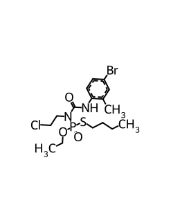 CCCCSP(=O)(OCC)N(CCCl)C(=O)Nc1ccc(Br)cc1C